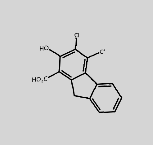 O=C(O)c1c(O)c(Cl)c(Cl)c2c1Cc1ccccc1-2